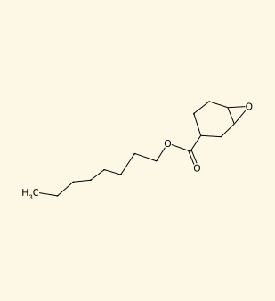 CCCCCCCCOC(=O)C1CCC2OC2C1